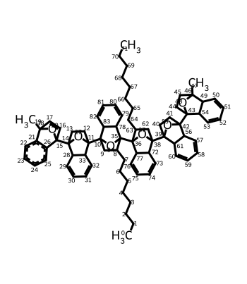 CCCCCCCCC1CC2(C34CCC(C56C=CC(C)(O5)c5ccccc56)(O3)C3C=CC=CC34)OC1(C13OC(C45CCC(C67CCC(C)(O6)C6C=CC=CC67)(O4)C4C=CC=CC45)(CC1CCCCCCCC)C1C=CC=CC13)C1C=CC=CC12